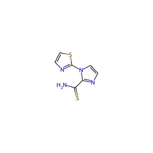 NC(=S)c1nccn1-c1nccs1